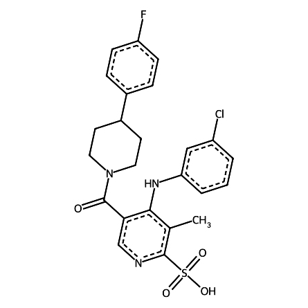 Cc1c(S(=O)(=O)O)ncc(C(=O)N2CCC(c3ccc(F)cc3)CC2)c1Nc1cccc(Cl)c1